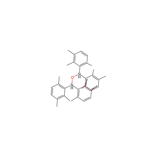 Cc1ccc(C)c([SiH](O[SiH](c2c(C)ccc(C)c2C)c2c(C)ccc(C)c2C)c2c(C)ccc(C)c2C)c1C